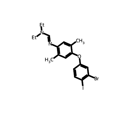 CCN(C=Nc1cc(C)c(Oc2ccc(I)c(Br)c2)cc1C)CC